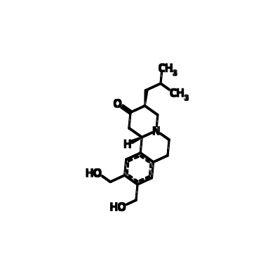 CC(C)C[C@H]1CN2CCc3cc(CO)c(CO)cc3[C@@H]2CC1=O